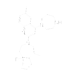 C/C=C\C1=C(C)CN(c2cc(N3CCCNCC3)c3cc(C)ccc3n2)CCC1(F)F